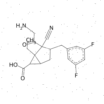 CCC12C(CC(Cc3cc(F)cc(F)c3)C1(C#N)C(=O)CN)C2C(=O)O